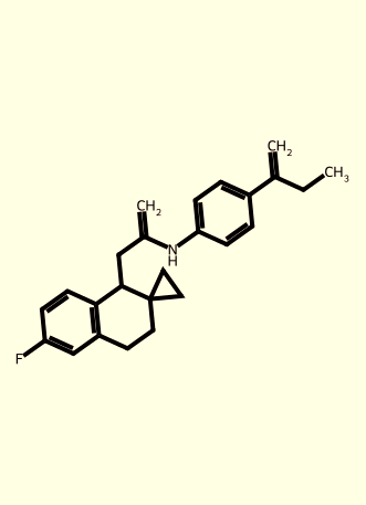 C=C(CC1c2ccc(F)cc2CCC12CC2)Nc1ccc(C(=C)CC)cc1